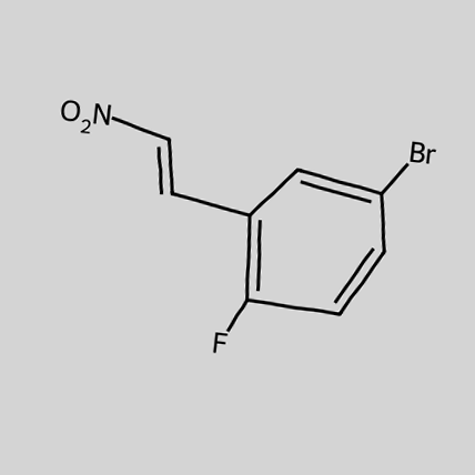 O=[N+]([O-])C=Cc1cc(Br)ccc1F